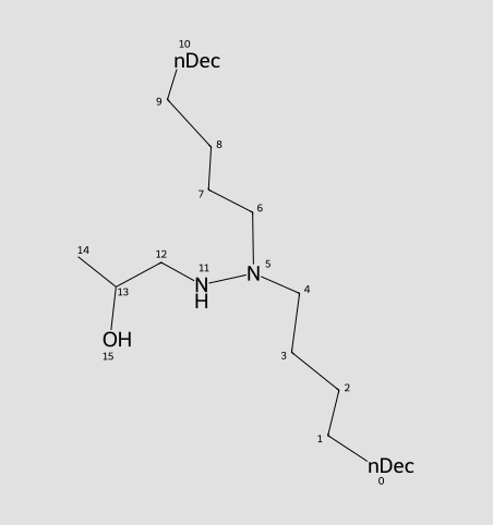 CCCCCCCCCCCCCCN(CCCCCCCCCCCCCC)NCC(C)O